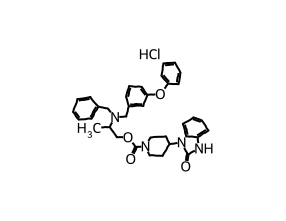 CC(COC(=O)N1CCC(n2c(=O)[nH]c3ccccc32)CC1)N(Cc1ccccc1)Cc1cccc(Oc2ccccc2)c1.Cl